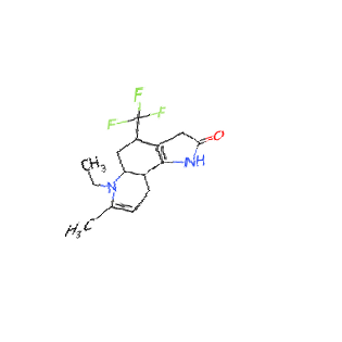 CCN1C(C)=CCC2C3=C(CC(=O)N3)C(C(F)(F)F)CC21